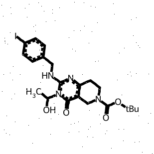 CC(O)n1c(NCc2ccc(I)cc2)nc2c(c1=O)CN(C(=O)OC(C)(C)C)CC2